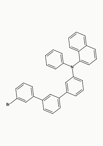 Brc1cccc(-c2cccc(-c3cccc(N(c4ccccc4)c4cccc5ccccc45)c3)c2)c1